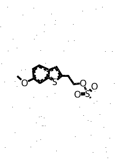 COc1ccc2cc(CCOS(C)(=O)=O)sc2c1